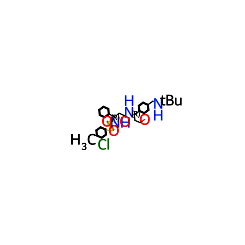 Cc1ccc(S(=O)(=O)N[C@H](CC(=O)N[C@@H]2CCOc3cc(CNC(C)(C)C)ccc32)c2ccccc2)cc1Cl